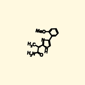 COc1ccccc1-c1c[nH]c([C](C)C(N)=O)n1